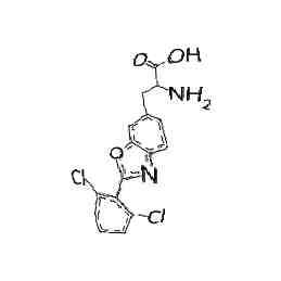 NC(Cc1ccc2nc(-c3c(Cl)cccc3Cl)oc2c1)C(=O)O